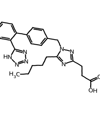 CCCCCc1nc(CCC(=O)O)nn1Cc1ccc(-c2ccccc2-c2nnn[nH]2)cc1